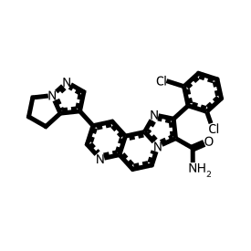 NC(=O)c1c(-c2c(Cl)cccc2Cl)nc2c3cc(-c4cnn5c4CCC5)cnc3ccn12